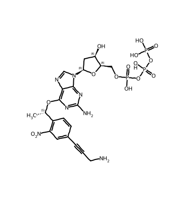 C[C@H](Oc1nc(N)nc2c1ncn2[C@H]1C[C@@H](O)[C@@H](COP(=O)(O)OP(=O)(O)OP(=O)(O)O)O1)c1ccc(C#CCN)cc1[N+](=O)[O-]